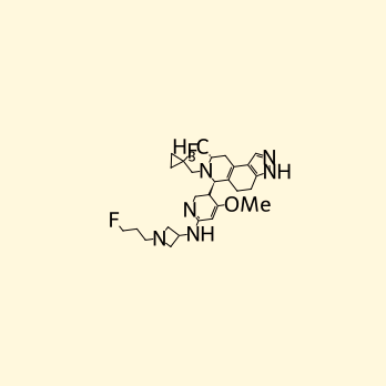 COC1=CC(NC2CN(CCCF)C2)=NCC1[C@@H]1C2=C(C[C@@H](C)N1CC1(F)CC1)c1cn[nH]c1CC2